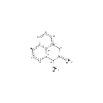 C=C1Cc2cccc3cccc(c23)C1=C